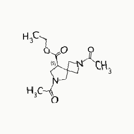 CCOC(=O)[C@@H]1CN(C(C)=O)CC12CN(C(C)=O)C2